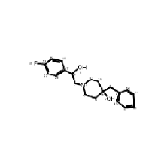 OC(CN1CCC(O)(Cc2ccccc2)CC1)c1ccc(F)cc1